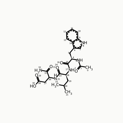 CC(=O)N[C@H](Cc1c[nH]c2ccccc12)C(=O)N[C@@H](CC(C)C)C(=O)NC(CC(=O)O)C(N)=O